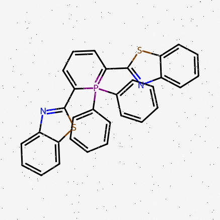 C1=CC(c2nc3ccccc3s2)=P(c2ccccc2)(c2ccccc2)C(c2nc3ccccc3s2)=C1